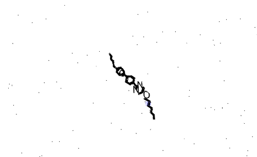 CCCC/C=C/COc1cnc(-c2ccc(C34CCC(CCCCC)(CC3)CC4)cc2)nc1